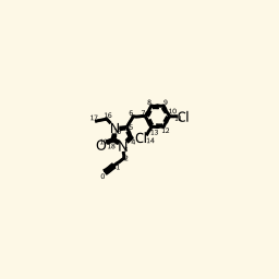 C#CCn1cc(Cc2ccc(Cl)cc2Cl)n(CC)c1=O